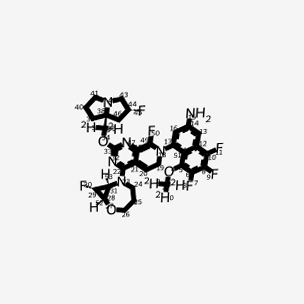 [2H]C([2H])([2H])Oc1c(F)c(F)c(F)c2cc(N)cc(N3CC=c4c(N5CCCO[C@H]6[C@H](F)[C@H]65)nc(OC([2H])([2H])[C@@]56CCCN5C[C@H](F)C6)nc4=C3F)c12